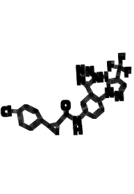 O=C(Nc1ccc(-n2cc(C(F)(F)F)cn2)c(-c2nnn[nH]2)c1)C1CC1c1ccc(Cl)cc1